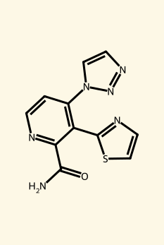 NC(=O)c1nccc(-n2ccnn2)c1-c1nccs1